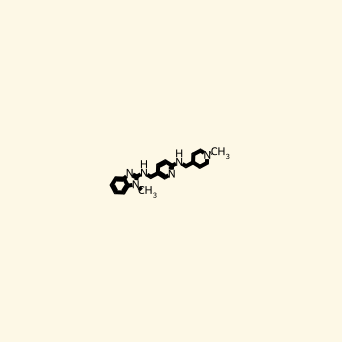 CN1CCC(CNc2ccc(CNc3nc4ccccc4n3C)cn2)CC1